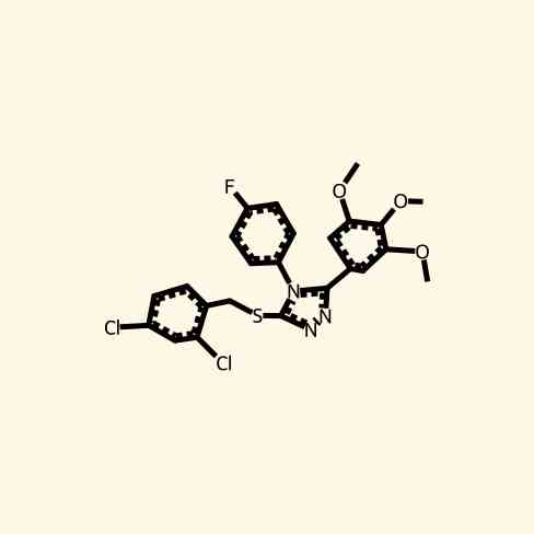 COc1cc(-c2nnc(SCc3ccc(Cl)cc3Cl)n2-c2ccc(F)cc2)cc(OC)c1OC